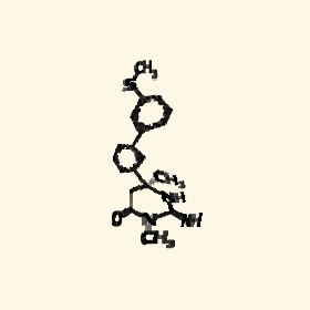 CSc1cccc(-c2cccc([C@]3(C)CC(=O)N(C)C(=N)N3)c2)c1